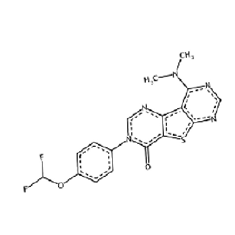 CN(C)c1ncnc2sc3c(=O)n(-c4ccc(OC(F)F)cc4)cnc3c12